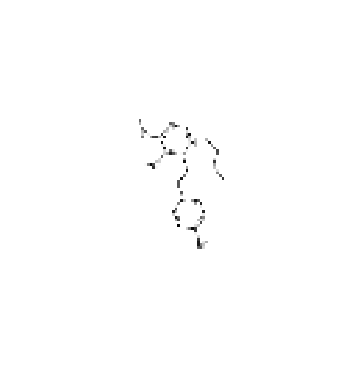 CCCC.COc1ncnc(CCc2ccc(Br)cc2)c1OC